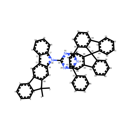 CC1(C)c2ccccc2-c2cc3c4ccccc4n(-c4nc(-c5ccccc5)nc(-c5cccc6c5C5(c7ccccc7-c7ccccc75)c5ccccc5-6)n4)c3cc21